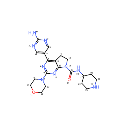 Nc1ncc(-c2nc(N3CCOCC3)nc3c2CCN3C(=O)NC2CCNCC2)cn1